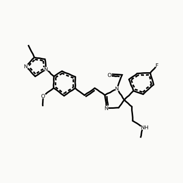 CNCCC1(c2ccc(F)cc2)CN=C(/C=C/c2ccc(-n3cnc(C)c3)c(OC)c2)N1C=O